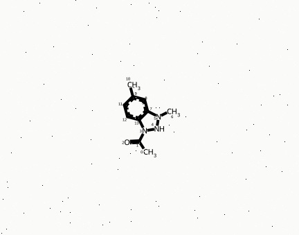 CC(=O)N1NN(C)c2cc(C)ccc21